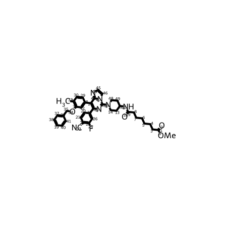 COC(=O)CCCCCCC(=O)NC1CCN(c2nc(-c3ccc(C#N)c(F)c3)c(-c3ccc(C)c(OCc4ccccc4)c3)c3nccn23)CC1